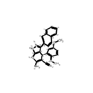 COc1ccc(OC)c([C@H]2C(C#N)=C(N)Oc3[nH]nc(-c4ccc5ccccc5c4)c32)c1